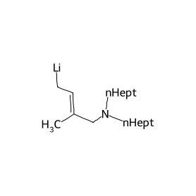 [Li][CH2]C=C(C)CN(CCCCCCC)CCCCCCC